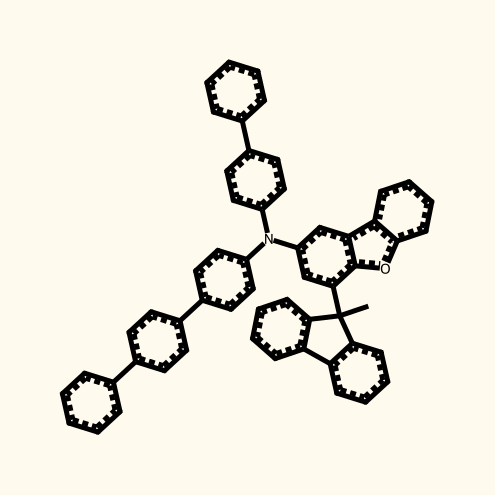 CC1(c2cc(N(c3ccc(-c4ccccc4)cc3)c3ccc(-c4ccc(-c5ccccc5)cc4)cc3)cc3c2oc2ccccc23)c2ccccc2-c2ccccc21